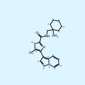 NC1(CNC(=O)c2nc(-c3cnn4ccccc34)c(Cl)s2)CCCCC1